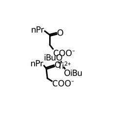 CC(C)C[O][Ti+2][O]CC(C)C.CCCC(=O)CC(=O)[O-].CCCC(=O)CC(=O)[O-]